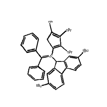 CCCC1=C(CCC)C(CCC)=[C]([Zr](=[C](c2ccccc2)c2ccccc2)[CH]2c3cc(C(C)(C)C)ccc3-c3ccc(C(C)(C)C)cc32)C1